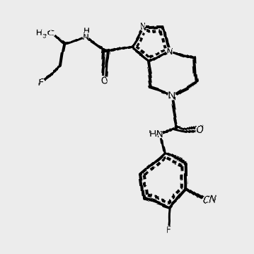 CC(CF)NC(=O)c1ncn2c1CN(C(=O)Nc1ccc(F)c(C#N)c1)CC2